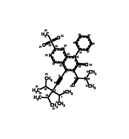 CC(C)[Si](C#Cc1c(C(=O)N(C)C)c(=O)n(-c2ccccc2)c2nc(S(C)(=O)=O)ncc12)(C(C)C)C(C)C